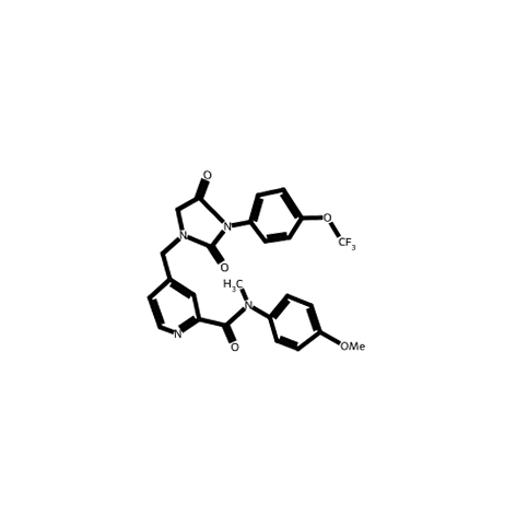 COc1ccc(N(C)C(=O)c2cc(CN3CC(=O)N(c4ccc(OC(F)(F)F)cc4)C3=O)ccn2)cc1